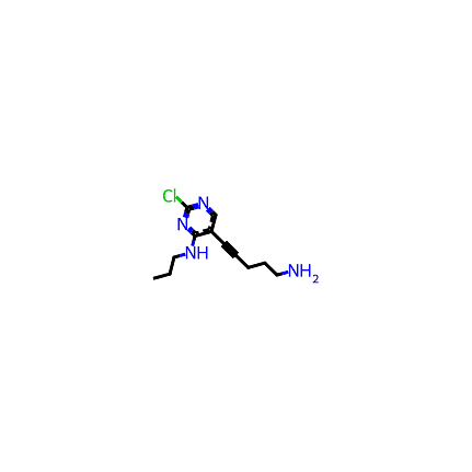 CCCNc1nc(Cl)ncc1C#CCCCN